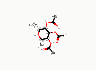 CCC(=O)O[C@@H]1[C@@H](OC(=O)CC)[C@H](OC(C)=O)O[C@H](C(=O)O)[C@H]1OC(=O)CC